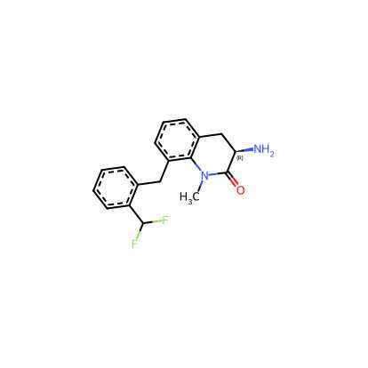 CN1C(=O)[C@H](N)Cc2cccc(Cc3ccccc3C(F)F)c21